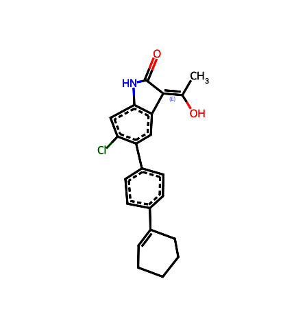 C/C(O)=C1\C(=O)Nc2cc(Cl)c(-c3ccc(C4=CCCCC4)cc3)cc21